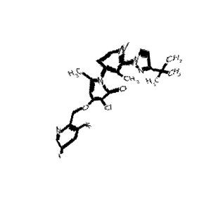 Cc1c(-n2c(C)cc(OCc3ncc(F)cc3F)c(Cl)c2=O)ccnc1-n1ccc(C(C)(C)C)n1